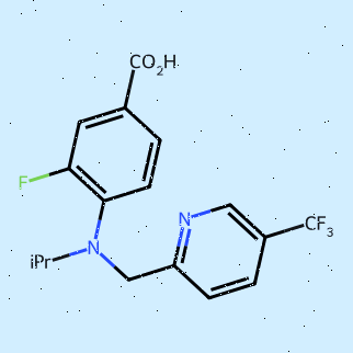 CC(C)N(Cc1ccc(C(F)(F)F)cn1)c1ccc(C(=O)O)cc1F